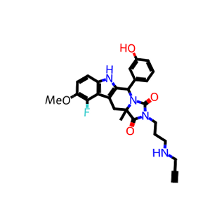 C#CCNCCCN1C(=O)N2C(c3cccc(O)c3)c3[nH]c4ccc(OC)c(F)c4c3CC2(C)C1=O